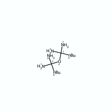 CCCCC(N)(N)OC(N)(N)CCCC